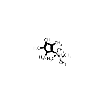 CC1=C(C)C(C)C([Si](C)(C)[SiH](C)C)=C1C